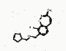 OC1=NOc2c(ccc(CNCC3CCCC3)c2O)C=C1